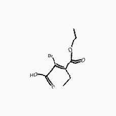 CCOC(=O)C(CC)=C(Br)C(=O)O